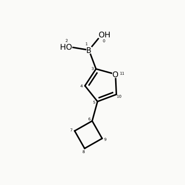 OB(O)c1cc(C2CCC2)co1